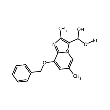 CCOC(O)c1c(C)nc2c(OCc3ccccc3)cc(C)cn12